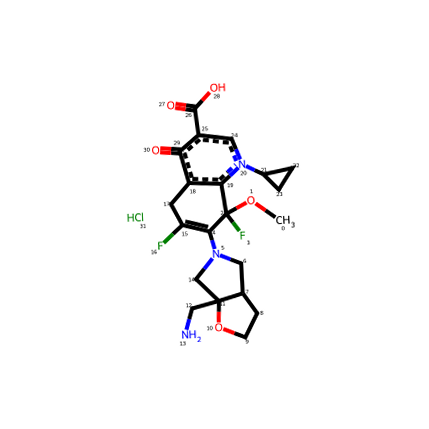 COC1(F)C(N2CC3CCOC3(CN)C2)=C(F)Cc2c1n(C1CC1)cc(C(=O)O)c2=O.Cl